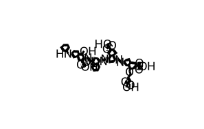 O=S(=O)(O)CCCOc1cc(S(=O)(=O)O)cc2ccc(N=Nc3ccc(N=Nc4ccc(N=Nc5c(S(=O)(=O)O)cc6cc(Nc7ccccc7)ccc6c5O)c5ccccc45)c4cc(S(=O)(=O)O)ccc34)cc12